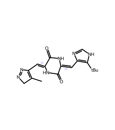 CC1=C(/C=c2\[nH]c(=O)/c(=C/c3nc[nH]c3C(C)(C)C)[nH]c2=O)N=NC1